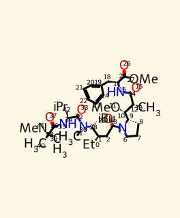 CC[C@H](CC(=O)N1CCC[C@H]1[C@H](OC)[C@@H](C)C(=O)N[C@@H](Cc1ccccc1)C(=O)OC)[C@H]([C@@H](C)CC)N(C)C(=O)[C@@H](NC(=O)C(C)(C)NC)C(C)C